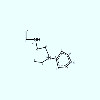 CCNCCN(CC)c1c[c]ccc1